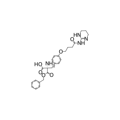 N[C@@](Cc1ccc(OCCCC(=O)NC2=NCCCN2)cc1)(C(=O)O)C(=O)OCc1ccccc1